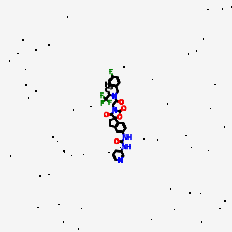 CC(N(Cc1ccc(F)cc1)C(=O)CN1C(=O)O[C@@]2(CCc3cc(NC(=O)Nc4cccnc4)ccc32)C1=O)C(F)(F)F